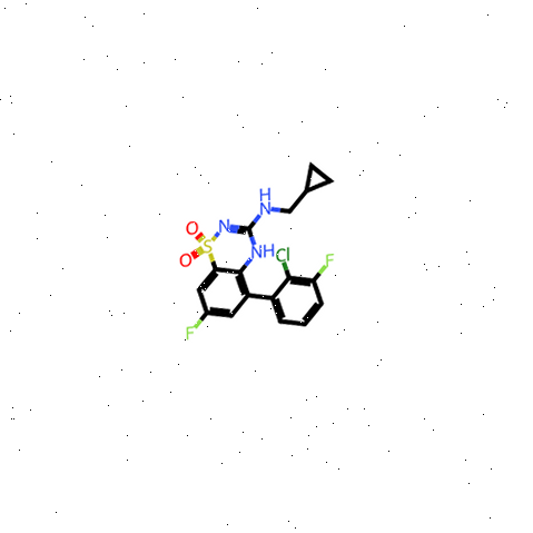 O=S1(=O)N=C(NCC2CC2)Nc2c(-c3cccc(F)c3Cl)cc(F)cc21